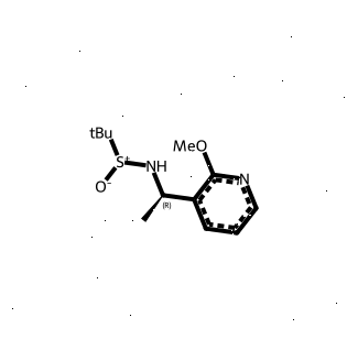 COc1ncccc1[C@@H](C)N[S+]([O-])C(C)(C)C